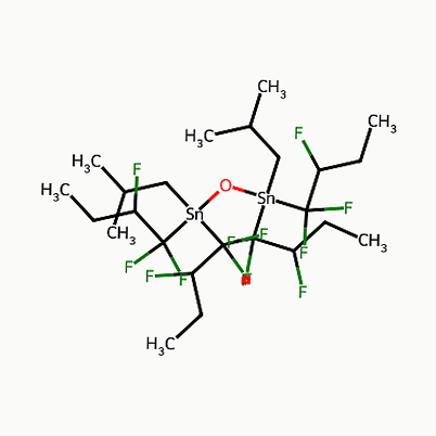 CCC(F)[C](F)(F)[Sn]([CH2]C(C)C)([O][Sn]([CH2]C(C)C)([C](F)(F)C(F)CC)[C](F)(F)C(F)CC)[C](F)(F)C(F)CC